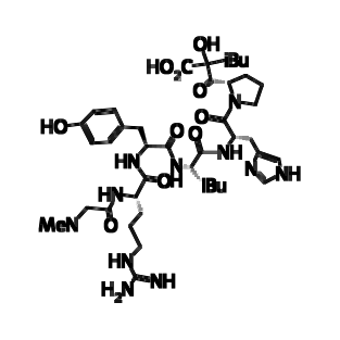 CCC(C)C(O)(C(=O)O)C(=O)[C@@H]1CCCN1C(=O)[C@H](Cc1c[nH]cn1)NC(=O)[C@@H](NC(=O)[C@H](Cc1ccc(O)cc1)NC(=O)[C@H](CCCNC(=N)N)NC(=O)CNC)[C@@H](C)CC